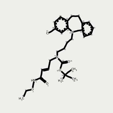 CCONC(=O)/C=C/CN(CCCCN1c2ccccc2CCc2ccc(Cl)cc21)C(=O)OC(C)(C)C